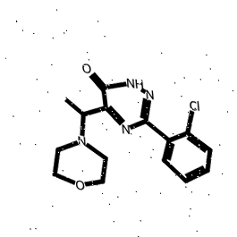 CC(c1nc(-c2ccccc2Cl)n[nH]c1=O)N1CCOCC1